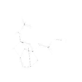 COC(=O)NC12CC3CC(CC(NC(C)=O)(C3)C1)C2